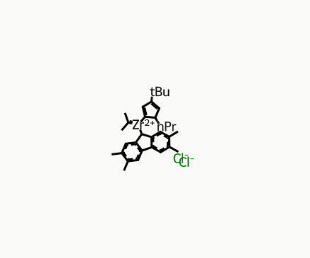 CCCC1C=C(C(C)(C)C)C=[C]1[Zr+2](=[C](C)C)[CH]1c2cc(C)c(C)cc2-c2cc(C)c(C)cc21.[Cl-].[Cl-]